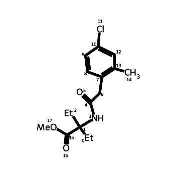 CCC(CC)(NC(=O)Cc1ccc(Cl)cc1C)C(=O)OC